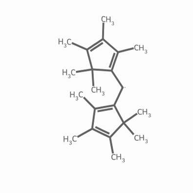 CC1=C(C)C(C)(C)C([CH]C2=C(C)C(C)=C(C)C2(C)C)=C1C